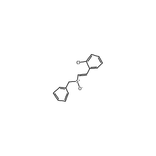 [O-][S+](C=Cc1ccccc1Cl)Cc1ccccc1